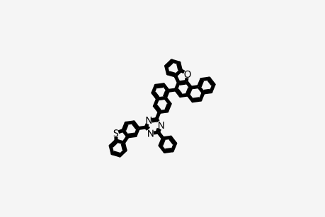 c1ccc(-c2nc(-c3ccc4c(-c5cc6ccc7ccccc7c6c6oc7ccccc7c56)cccc4c3)nc(-c3ccc4sc5ccccc5c4c3)n2)cc1